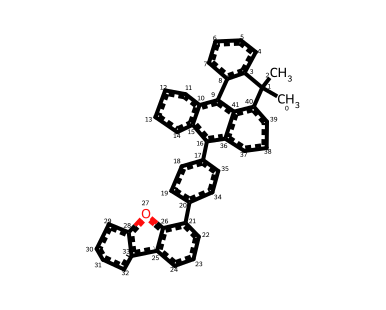 CC1(C)c2ccccc2-c2c3ccccc3c(-c3ccc(-c4cccc5c4oc4ccccc45)cc3)c3cccc1c23